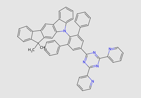 CC1(C)c2ccccc2-c2cc3c4ccccc4n(-c4c(-c5ccccc5)cc(-c5nc(-c6ccccn6)nc(-c6ccccn6)n5)cc4-c4ccccc4)c3cc21